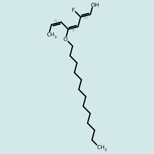 C\C=C/C(=C\C(F)=C\O)OCCCCCCCCCCCCC